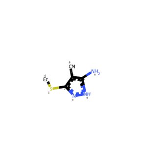 CCSc1n[nH]c(N)c1C#N